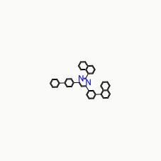 c1ccc(-c2ccc(-c3cc(-c4cccc(-c5cccc6ccccc56)c4)nc(-c4cccc5ccccc45)n3)cc2)cc1